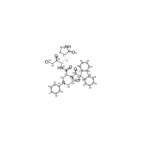 O=C1NCC[C@H]1C[C@H](NC(=O)[C@@H]1CN(c2ccccc2)CCN1C(=O)C1(O)c2ccccc2-c2ccccc21)C(=O)CCl